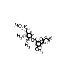 Cc1cc(COc2ccc(CCC(=O)O)c(C)c2C)c2oc(CC(F)F)cc2c1